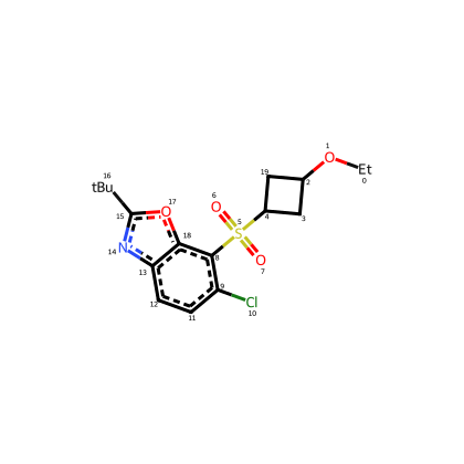 CCOC1CC(S(=O)(=O)c2c(Cl)ccc3nc(C(C)(C)C)oc23)C1